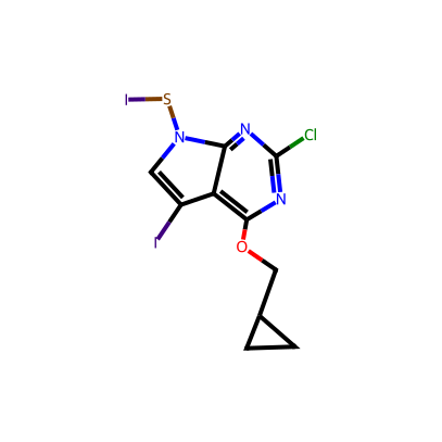 Clc1nc(OCC2CC2)c2c(I)cn(SI)c2n1